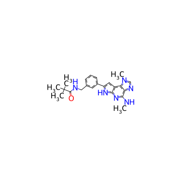 CNc1nc2[nH]c(-c3cccc(CNC(=O)C(C)(C)C)c3)cc2c2c1ncn2C